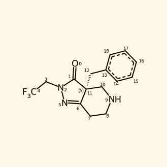 O=C1N(CC(F)(F)F)N=C2CCNC[C@]12Cc1ccccc1